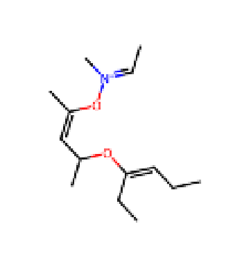 C/C=[N+](\C)O/C(C)=C\C(C)O/C(=C/CC)CC